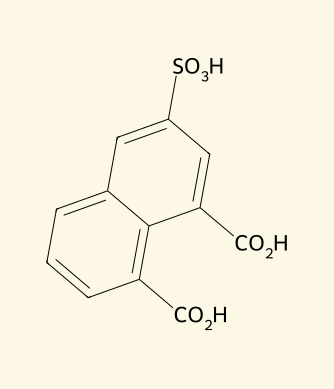 O=C(O)c1cccc2cc(S(=O)(=O)O)cc(C(=O)O)c12